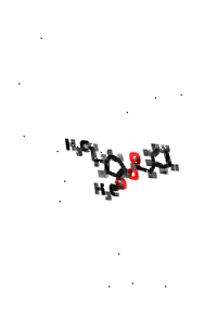 CC=Cc1ccc(OC(=O)Cc2ccccc2)c(OC)c1